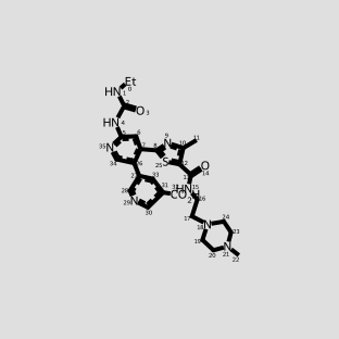 CCNC(=O)Nc1cc(-c2nc(C)c(C(=O)NCCN3CCN(C)CC3)s2)c(-c2cncc(C(=O)O)c2)cn1